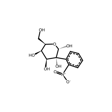 O=[N+]([O-])c1ccccc1[C@]1(O)[C@@H](O)O[C@H](CO)[C@H](O)[C@@H]1O